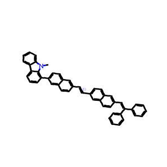 Cn1c2ccccc2c2cccc(-c3ccc4cc(/C=C/c5ccc6cc(C=C(c7ccccc7)c7ccccc7)ccc6c5)ccc4c3)c21